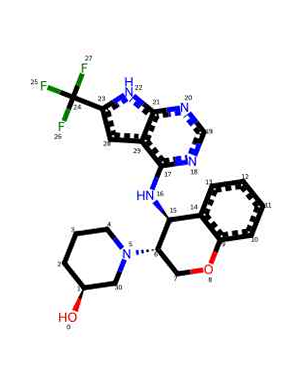 O[C@H]1CCCN([C@H]2COc3ccccc3[C@@H]2Nc2ncnc3[nH]c(C(F)(F)F)cc23)C1